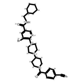 N#Cc1ccc(C(=O)N2CCC(N3CCN(c4ncc(C(=O)NCC5CCCCC5)cc4Br)CC3)CC2)cc1